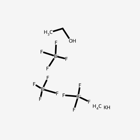 C.CCO.F[B-](F)(F)F.F[B-](F)(F)F.F[B-](F)(F)F.[KH]